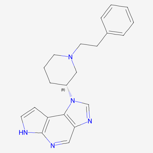 c1ccc(CCN2CCC[C@@H](n3cnc4cnc5[nH]ccc5c43)C2)cc1